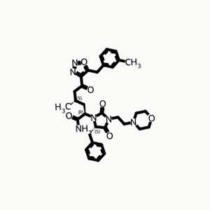 Cc1cccc(Cc2onnc2C(=O)C[C@@H](C)C[C@H](C(N)=O)N2C(=O)N(CCN3CCOCC3)C(=O)[C@@H]2Cc2ccccc2)c1